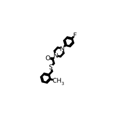 Cc1ccccc1CSCC(=O)N1CCN(c2ccc(F)cc2)CC1